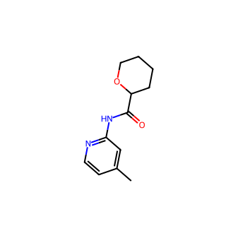 Cc1ccnc(NC(=O)C2CCCCO2)c1